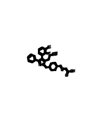 O=C(O)COC[C@H]1CC[C@@H](Cn2nc(-c3ccccc3)c(-c3cccc(Cl)c3F)c2CCO)CC1